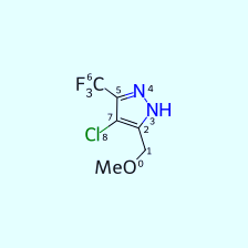 COCc1[nH]nc(C(F)(F)F)c1Cl